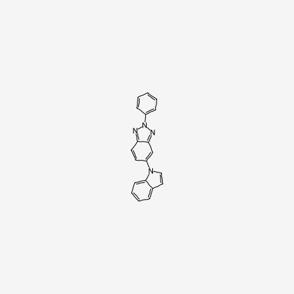 c1ccc(-n2nc3ccc(-n4ccc5ccccc54)cc3n2)cc1